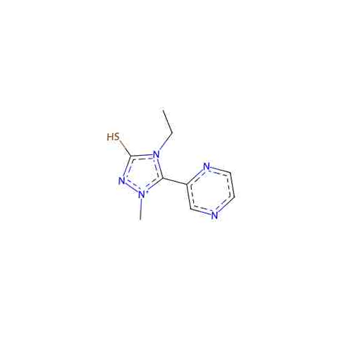 CCn1c(S)n[n+](C)c1-c1cnccn1